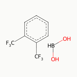 FC(F)(F)c1ccccc1C(F)(F)F.OBO